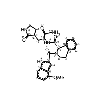 COc1cccc2[nH]c(C(=O)N3CCc4ccccc4[C@H]3C(=O)N[C@@H](C[C@@H]3CCNC3=O)C(N)=O)cc12